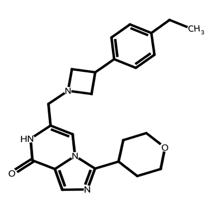 CCc1ccc(C2CN(Cc3cn4c(C5CCOCC5)ncc4c(=O)[nH]3)C2)cc1